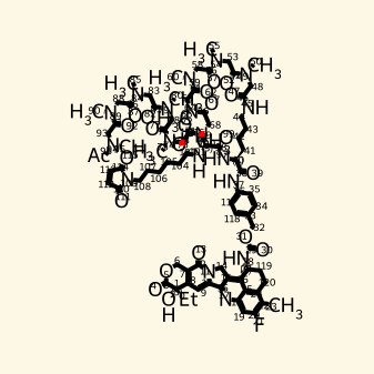 CC[C@@]1(O)C(=O)OCc2c1cc1n(c2=O)Cc2c-1nc1cc(F)c(C)c3c1c2[C@@H](NC(=O)OCc1ccc(NC(=O)[C@H](CCCCNC(=O)CN(C)C(=O)CN(C)C(=O)CN(C)C(=O)CN(C)C(=O)CN(C)C(=O)CN(C)C(=O)CN(C)C(=O)CN(C)C(=O)CN(C)C(=O)CN(C)C(C)=O)NC(=O)[C@@H](NC(=O)CCCCCN2C(=O)C=CC2=O)C(C)C)cc1)CC3